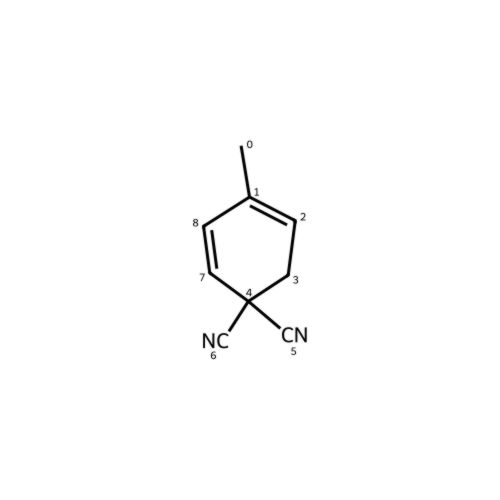 CC1=CCC(C#N)(C#N)C=C1